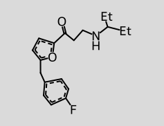 CCC(CC)NCCC(=O)c1ccc(Cc2ccc(F)cc2)o1